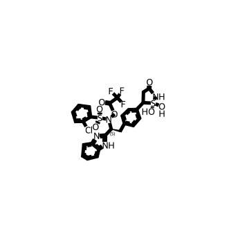 O=C1CC(c2ccc(C[C@@H](c3nc4ccccc4[nH]3)N(OC(=O)C(F)(F)F)S(=O)(=O)c3ccccc3Cl)cc2)S(O)(O)N1